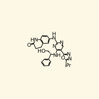 CC(C)c1nnc(-c2cnc(Nc3ccc4c(c3)CCC(=O)N4)nc2N[C@H](CO)c2ccccc2)o1